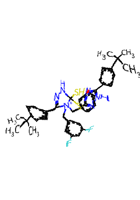 CC(C)(C)c1ccc(C2=NNC(S)(Sc3n[nH]c(-c4ccc(C(C)(C)C)cc4)n3)[N+]2(Cc2ccccc2)Cc2cc(F)cc(F)c2)cc1